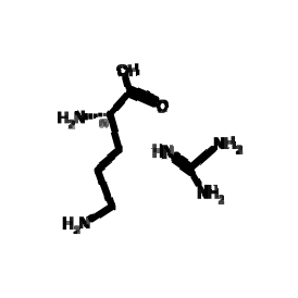 N=C(N)N.NCCC[C@H](N)C(=O)O